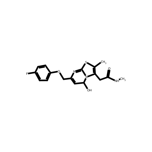 CNC(=O)CC1=C(C)SC2=NC(COc3ccc(F)cc3)=CC(O)N21